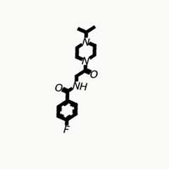 CC(C)N1CCN(C(=O)CNC(=O)c2ccc(F)cc2)CC1